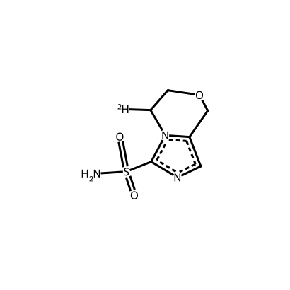 [2H]C1COCc2cnc(S(N)(=O)=O)n21